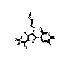 COCCO[C@@H]1[C@H](C)[C@@H]([C@@H](O)P(C)(C)=O)O[C@H]1n1cc(C)c(=O)[nH]c1=O